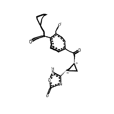 O=C(c1ccc(C(=O)[C@H]2C[C@@H]2c2nc(=O)o[nH]2)cc1Cl)C1CC1